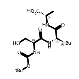 CC[C@H](C)[C@H](NC(=O)[C@H](CO)NC(=O)OC(C)(C)C)C(=O)N[C@@H](C)C(=O)O